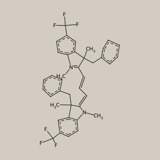 CN1/C(=C/C=C/C2=[N+](C)c3ccc(C(F)(F)F)cc3C2(C)Cc2ccccc2)C(C)(Cc2ccccc2)c2cc(C(F)(F)F)ccc21